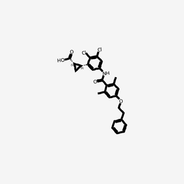 Cc1cc(OCCc2ccccc2)cc(C)c1C(=O)Nc1cc(Cl)c(Cl)c([C@@H]2C[C@@H]2C(=O)O)c1